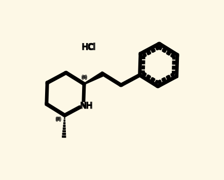 C[C@@H]1CCC[C@@H](CCc2ccccc2)N1.Cl